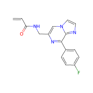 C=CC(=O)NCc1cn2ccnc2c(-c2ccc(F)cc2)n1